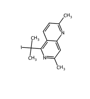 Cc1cc2nc(C)ccc2c(C(C)(C)I)n1